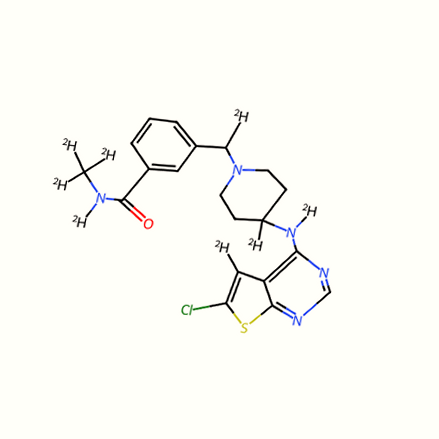 [2H]c1c(Cl)sc2ncnc(N([2H])C3([2H])CCN(C([2H])c4cccc(C(=O)N([2H])C([2H])([2H])[2H])c4)CC3)c12